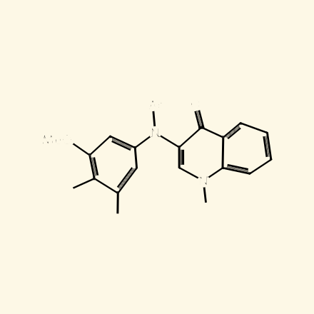 COc1cc(N(C(C)=O)c2cn(C)c3ccccc3c2=O)cc(C)c1C